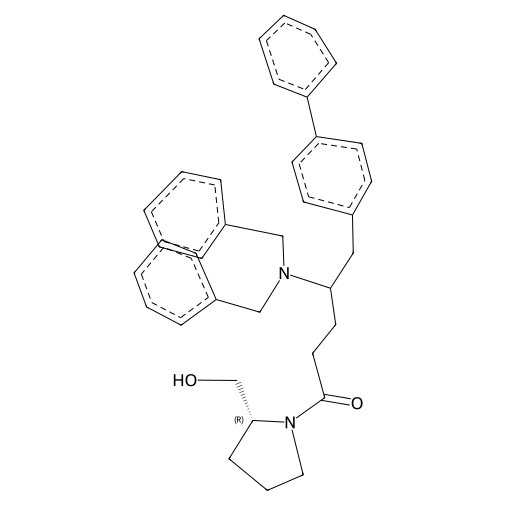 O=C(CCC(Cc1ccc(-c2ccccc2)cc1)N(Cc1ccccc1)Cc1ccccc1)N1CCC[C@@H]1CO